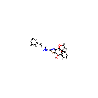 O=C(c1ccccc1)c1sc(NCCCc2ccccc2)nc1-c1ccco1